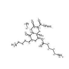 CCCCCC(=O)N1C[C@@H]2N(OC(=O)CCCCN)C[C@@H](CCCCN)C(=O)N2[C@H](CC(C)C)C1=O